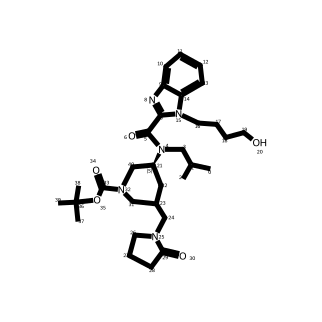 CC(C)CN(C(=O)c1nc2ccccc2n1CCCCO)[C@H]1CC(CN2CCCC2=O)CN(C(=O)OC(C)(C)C)C1